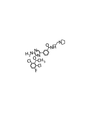 CC(Oc1nc(-c2cccc(C(=O)NCCCN3CCCC3)c2)cnc1N)c1c(Cl)ccc(F)c1Cl